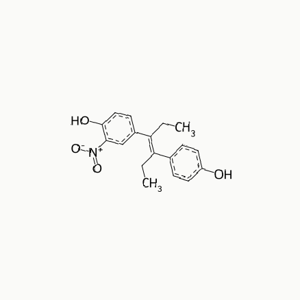 CC/C(=C(/CC)c1ccc(O)c([N+](=O)[O-])c1)c1ccc(O)cc1